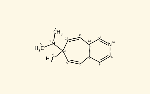 CN(C)C1(C)C=Cc2ccncc2C=C1